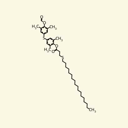 CCCCCCCCCCCCCCCCCCSCCC(=O)Oc1c(C)cc(Sc2cc(C)c(OC=O)c(C)c2)cc1C